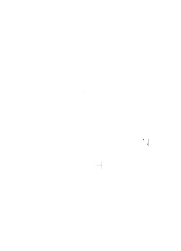 CC(O)Cc1c(CCN(C)C)sc2ccccc12